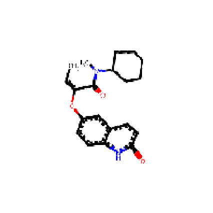 CC=C(Oc1ccc2[nH]c(=O)ccc2c1)C(=O)N(C)C1CCCCC1